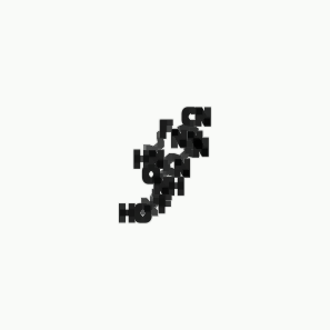 CC(CCF)Nc1cc(-c2cnn3cc(C#N)cnc23)ncc1C(=O)NC[C@@H](F)C(C)(C)O